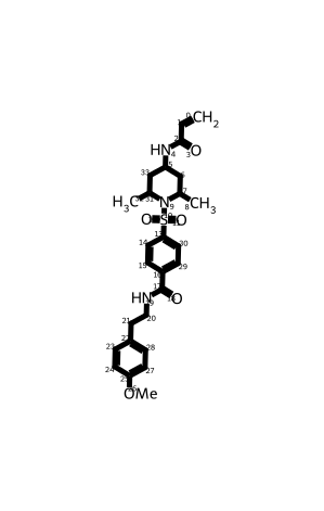 C=CC(=O)NC1CC(C)N(S(=O)(=O)c2ccc(C(=O)NCCc3ccc(OC)cc3)cc2)C(C)C1